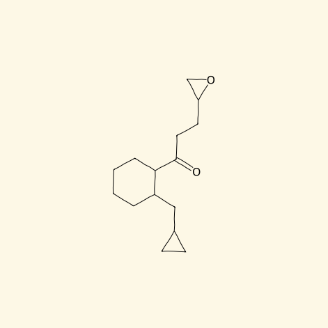 O=C(CCC1CO1)C1CCCCC1CC1CC1